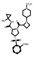 COc1ccccc1S(=O)(=O)[C@@H]1C[C@@H](C(=O)NC2(C#N)CC2)N(C(=O)C2CCN2C2CCN(C(=O)O)CC2)C1